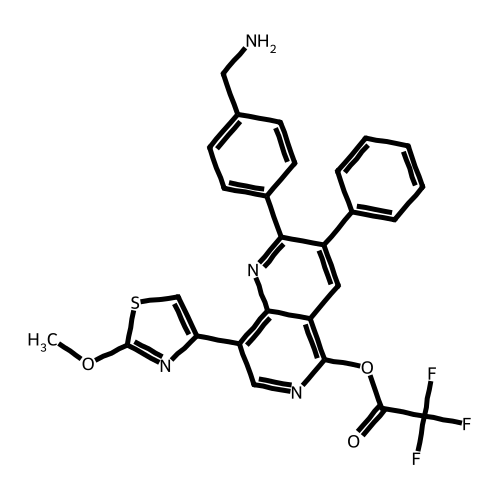 COc1nc(-c2cnc(OC(=O)C(F)(F)F)c3cc(-c4ccccc4)c(-c4ccc(CN)cc4)nc23)cs1